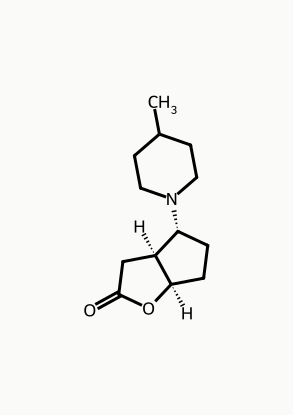 CC1CCN([C@@H]2CC[C@H]3OC(=O)C[C@@H]23)CC1